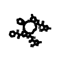 CCn1nc(C)cc1C(=O)Nc1nc2cc(C)cc3c2n1C/C=C/Cn1c(NC(=O)c2cc(C)nn2CC)nc2cc(C(=O)NC4CCCCC4)cc(c21)OCC(N1C2CCC1COC2)CO3